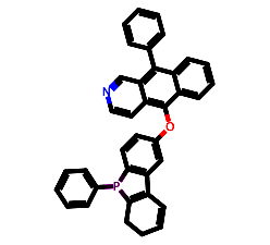 C1=Cc2c(p(-c3ccccc3)c3ccc(Oc4c5ccccc5c(-c5ccccc5)c5cnccc45)cc23)CC1